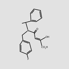 CC(c1ccccc1)N(Cc1ccc(F)cc1)C(=O)C=C(O)C(=O)O